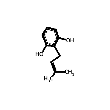 CC(C)=CCc1c(O)[c]ccc1O